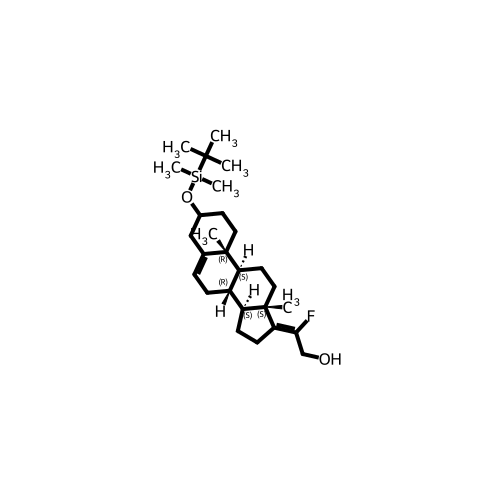 CC(C)(C)[Si](C)(C)OC1CC[C@@]2(C)C(=CC[C@@H]3[C@@H]2CC[C@]2(C)C(=C(F)CO)CC[C@@H]32)C1